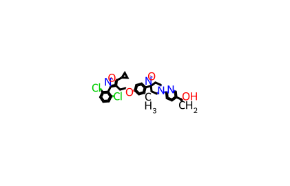 C=C(O)c1ccc(N2CCC(N=O)(c3ccc(OCCc4c(-c5c(Cl)cccc5Cl)noc4C4CC4)cc3C)CC2)nc1